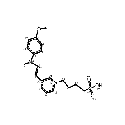 COc1ccc(N(C)N=Cc2ccc[n+](CCCCS(=O)(=O)O)c2)cc1